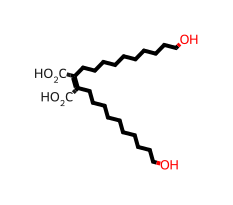 O=C(O)/C(CCCCCCCCCCO)=C(/CCCCCCCCCCO)C(=O)O